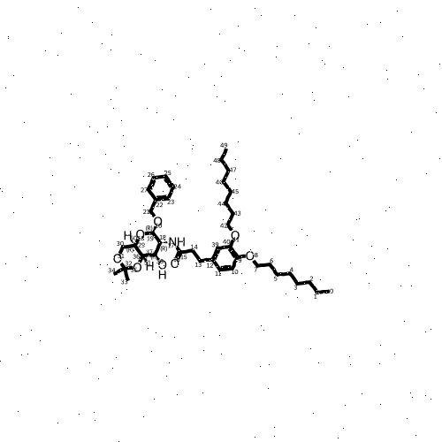 CCCCCCCCOc1ccc(CCC(=O)N[C@H]2[C@H](OCc3ccccc3)O[C@@H]3COC(C)(C)O[C@H]3[C@@H]2O)cc1OCCCCCCCC